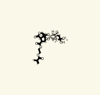 C=C(I)C(=O)OCCOC(=O)C1C2OC3C(OC(=O)C31)C2OS(=O)(=O)NS(=O)(=O)CC(O)(C(F)(F)F)C(F)(F)F